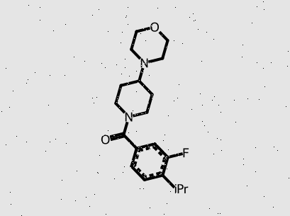 CC(C)c1ccc(C(=O)N2CCC(N3CCOCC3)CC2)cc1F